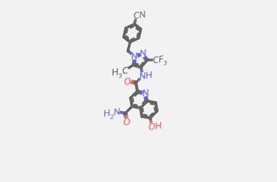 Cc1c(NC(=O)c2cc(C(N)=O)c3cc(O)ccc3n2)c(C(F)(F)F)nn1Cc1ccc(C#N)cc1